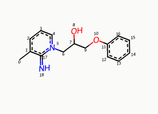 Cc1cccn(CC(O)COc2ccccc2)c1=N